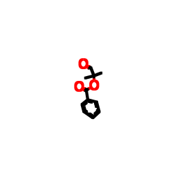 CC(C)(C=O)OC(=O)c1ccccc1